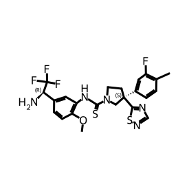 COc1ccc([C@@H](N)C(F)(F)F)cc1NC(=S)N1CC[C@@](c2ccc(C)c(F)c2)(c2ncns2)C1